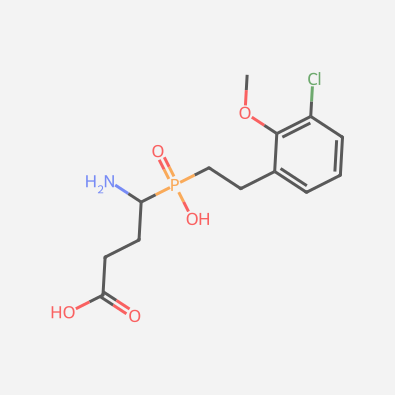 COc1c(Cl)cccc1CCP(=O)(O)C(N)CCC(=O)O